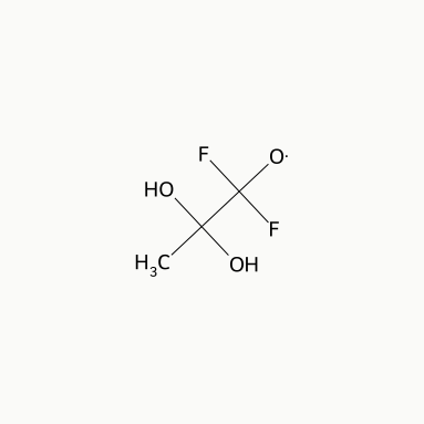 CC(O)(O)C([O])(F)F